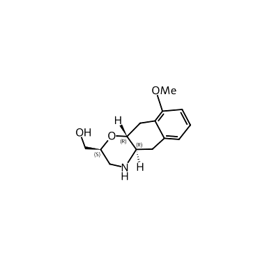 COc1cccc2c1C[C@H]1O[C@H](CO)CN[C@@H]1C2